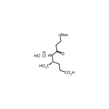 CCCCCCCCCCCC(=O)N[C@@H](CCC(=O)O)C(=O)O.Cl.Cl